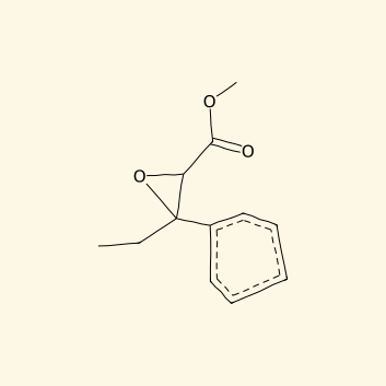 CCC1(c2ccccc2)OC1C(=O)OC